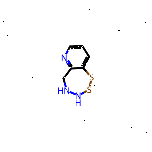 c1cnc2c(c1)SSNNC2